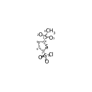 CS(=O)(=O)c1ccc(S(=O)(=O)Cl)s1